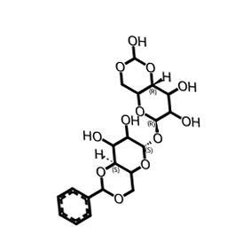 OC1OCC2O[C@H](O[C@@H]3OC4COC(c5ccccc5)O[C@H]4C(O)C3O)C(O)C(O)[C@H]2O1